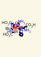 CC[C@H](C)[C@H](NC(=O)[C@H](CCC(=O)O)NC(=O)[C@H](CC(N)=O)NC(=O)[C@H](Cc1ccccc1)NC(=O)[C@@H](N)CCC(=O)O)C(=O)N[C@H](C(=O)O)C(C)C